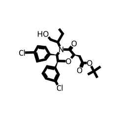 CCC(CO)N1C(=O)[C@@H](CC(=O)OC(C)(C)C)O[C@@H](c2cccc(Cl)c2)[C@H]1c1ccc(Cl)cc1